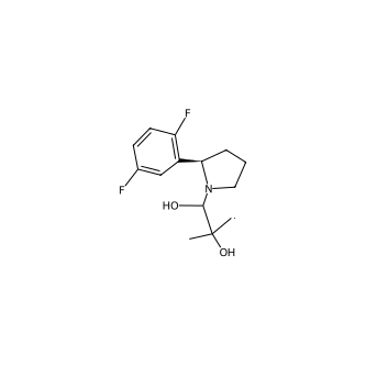 [CH2]C(C)(O)C(O)N1CCC[C@@H]1c1cc(F)ccc1F